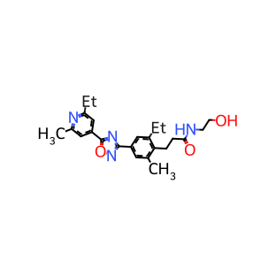 CCc1cc(-c2nc(-c3cc(C)c(CCC(=O)NCCO)c(CC)c3)no2)cc(C)n1